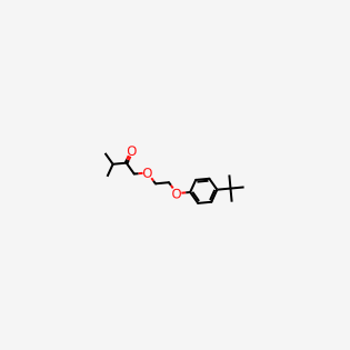 CC(C)C(=O)COCCOc1ccc(C(C)(C)C)cc1